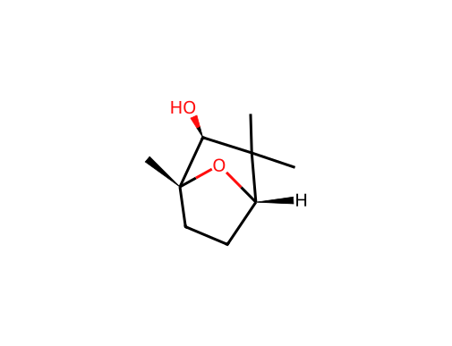 CC1(C)[C@@H]2CC[C@@](C)(O2)[C@H]1O